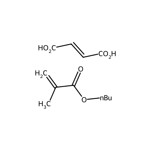 C=C(C)C(=O)OCCCC.O=C(O)C=CC(=O)O